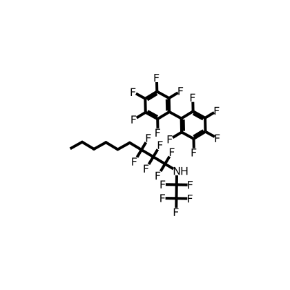 CCCCCCC(F)(F)C(F)(F)C(F)(F)NC(F)(F)C(F)(F)F.Fc1c(F)c(F)c(-c2c(F)c(F)c(F)c(F)c2F)c(F)c1F